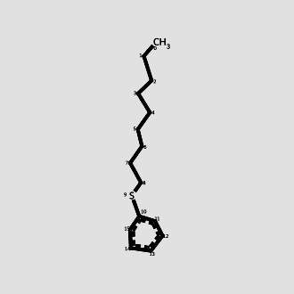 CCCCCCCCCSc1ccccc1